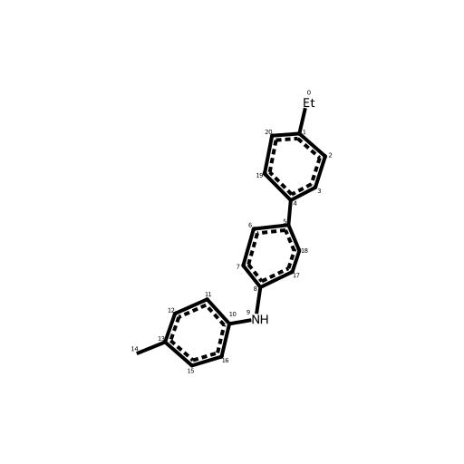 CCc1ccc(-c2ccc(Nc3ccc(C)cc3)cc2)cc1